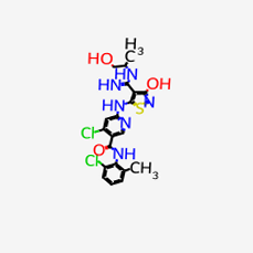 Cc1cccc(Cl)c1NC(=O)c1cnc(Nc2snc(O)c2C(=N)NC(C)CO)cc1Cl